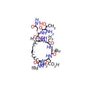 CC[C@H](C)[C@@H]1NC(=O)[C@H](C)NC(=O)[C@@](C)(NC(=O)[C@H](CCC(N)=O)NC(=O)[C@H](N)[C@@H](C)O)CCC/C=C/CCC[C@@](C)(C(=O)NC(C)(C)C)NC(=O)[C@H](CC(=O)O)NC1=O